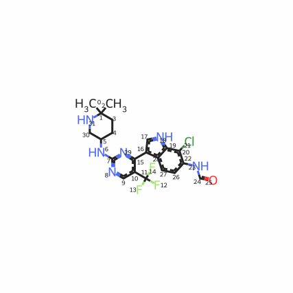 CC1(C)CCC(Nc2ncc(C(F)(F)F)c(-c3c[nH]c4c(Cl)c(NC=O)ccc34)n2)CN1